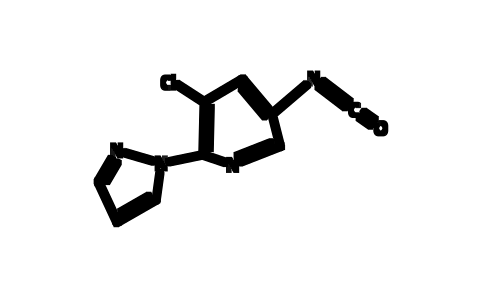 O=C=Nc1cnc(-n2cccn2)c(Cl)c1